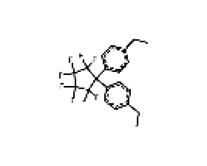 CCc1ccc(C2(c3ccc(CC)cc3)C(F)(F)C(F)(F)C(F)(F)C2(F)F)cc1